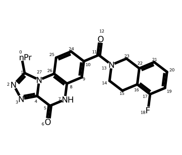 CCCc1nnc2c(=O)[nH]c3cc(C(=O)N4CCc5c(F)cccc5C4)ccc3n12